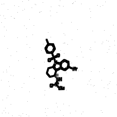 Cc1ccc(S(=O)(=O)n2c3c(c4cc(C(C)C)ccc42)[C@H](N[S@+]([O-])C(C)(C)C)CCC3)cc1